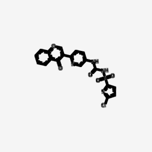 O=C(Nc1ccc(-c2coc3ccccc3c2=O)nc1)NS(=O)(=O)c1ccc(Cl)s1